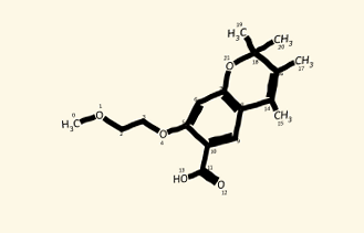 COCCOc1cc2c(cc1C(=O)O)C(C)=C(C)C(C)(C)O2